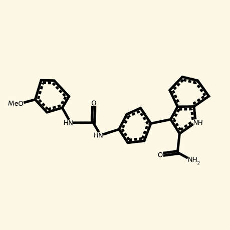 COc1cccc(NC(=O)Nc2ccc(-c3c(C(N)=O)[nH]c4ccccc34)cc2)c1